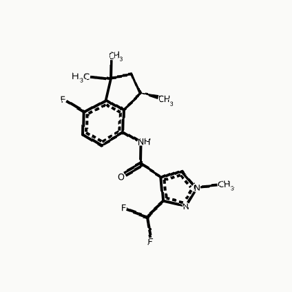 C[C@@H]1CC(C)(C)c2c(F)ccc(NC(=O)c3cn(C)nc3C(F)F)c21